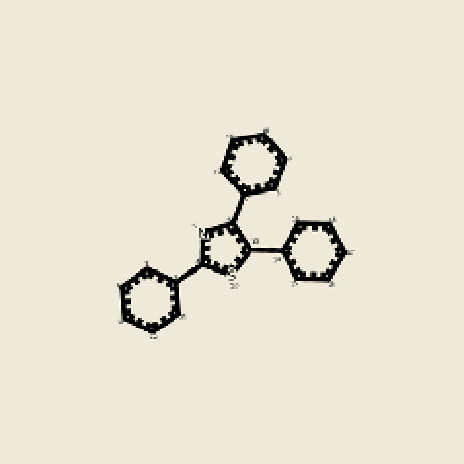 [c]1ccc(-c2nc(-c3ccccc3)c(-c3ccccc3)s2)cc1